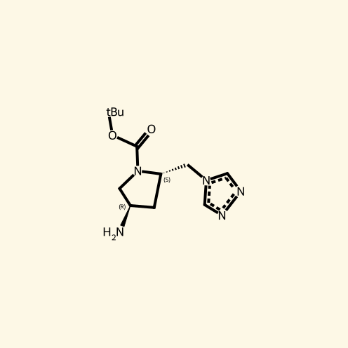 CC(C)(C)OC(=O)N1C[C@H](N)C[C@H]1Cn1cnnc1